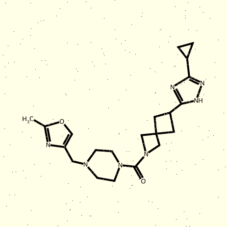 Cc1nc(CN2CCN(C(=O)N3CC4(CC(c5nc(C6CC6)n[nH]5)C4)C3)CC2)co1